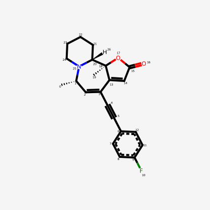 C[C@H]1C=C(C#Cc2ccc(F)cc2)C2=CC(=O)O[C@]2(C)[C@H]2CCCCN12